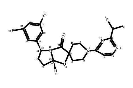 CC(F)c1nccc(N2CCC3(CC2)O[C@@H]2CC[C@@H](c4cc(F)cc(F)c4)N2C3=O)n1